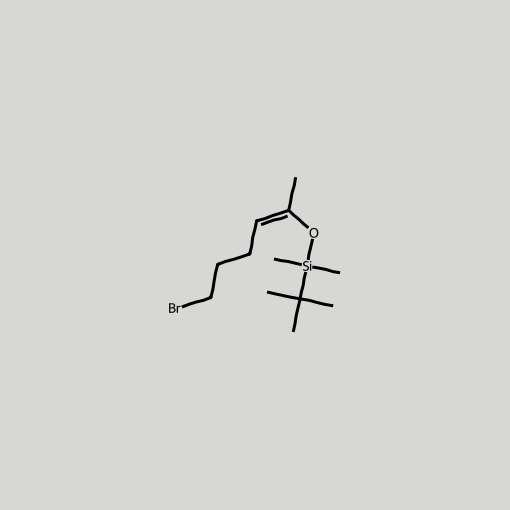 CC(=CCCCBr)O[Si](C)(C)C(C)(C)C